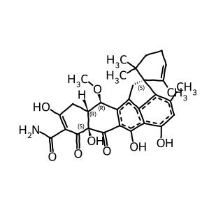 CO[C@H]1c2c(c(O)c3c(O)cc(C)c4c3c2C[C@]42C(C)=CCCC2(C)C)C(=O)[C@]2(O)C(=O)C(C(N)=O)=C(O)C[C@H]12